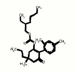 CCCCC(CC)COC(=O)OC1=C(c2ccc(C)cc2C)C(=O)CC(C)(CCC)C1